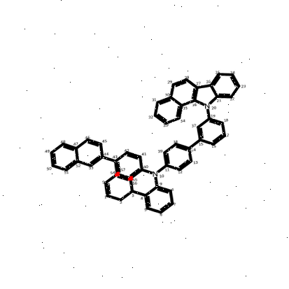 C1=CCC(c2ccccc2N(c2ccc(-c3cccc(-n4c5ccccc5c5ccc6ccccc6c54)c3)cc2)c2ccc(-c3ccc4ccccc4c3)cc2)C=C1